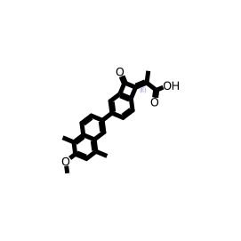 COc1cc(C)c2cc(-c3ccc4c(c3)C(=O)/C4=C(\C)C(=O)O)ccc2c1C